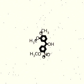 COc1ccc(C(O)c2ccc(OC)c([N+](=O)[O-])c2)cc1OC